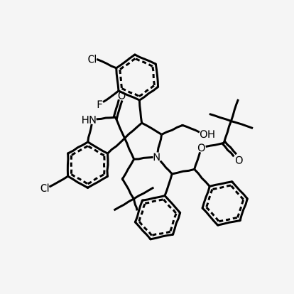 CC(C)(C)CC1N(C(c2ccccc2)C(OC(=O)C(C)(C)C)c2ccccc2)C(CO)C(c2cccc(Cl)c2F)C12C(=O)Nc1cc(Cl)ccc12